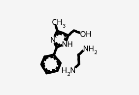 Cc1nc(-c2ccccc2)[nH]c1CO.NCCN